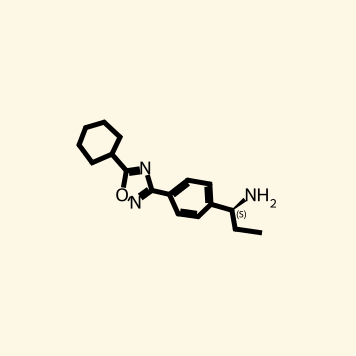 CC[C@H](N)c1ccc(-c2noc(C3CCCCC3)n2)cc1